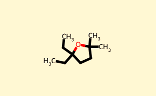 CCC1(CC)CCC(C)(C)O1